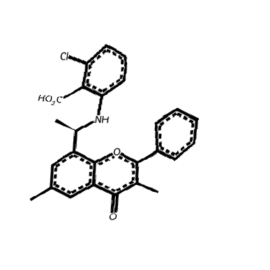 Cc1cc([C@@H](C)Nc2cccc(Cl)c2C(=O)O)c2oc(-c3ccccc3)c(C)c(=O)c2c1